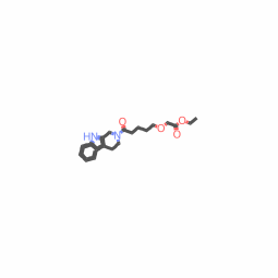 CCOC(=O)COCCCCC(=O)N1CCc2c([nH]c3ccccc23)C1